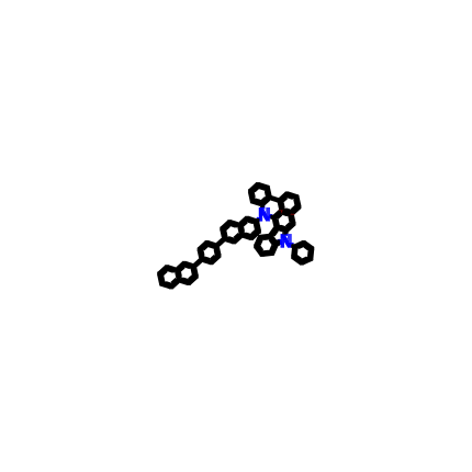 c1ccc(-c2ccccc2N(c2ccc3cc(-c4ccc(-c5ccc6ccccc6c5)cc4)ccc3c2)c2cccc3c2c2ccccc2n3-c2ccccc2)cc1